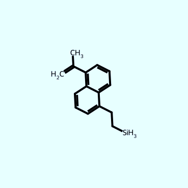 C=C(C)c1cccc2c(CC[SiH3])cccc12